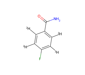 [2H]c1c([2H])c(C(N)=O)c([2H])c([2H])c1F